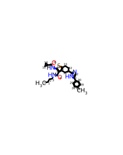 CCCCNC(=O)c1c(NC(=O)C2CC2)sc2c1CC(c1ncc(-c3ccc(C)cc3)[nH]1)CC2